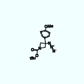 COc1ccc(C2(N=[N+]=[N-])CN(C(=O)OC(C)(C)C)C2)cc1